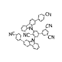 N#Cc1ccc(-c2ccc3c4ccccc4n(-c4cc(-c5cc(C#N)cc(C#N)c5)cc(-n5c6ccccc6c6ccc(-c7ccc(C#N)cc7)cc65)c4C#N)c3c2)cc1